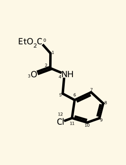 CCOC(=O)CC(=O)NCc1ccccc1Cl